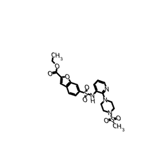 CCOC(=O)c1cc2ccc(S(=O)(=O)Nc3cccnc3N3CCN(S(C)(=O)=O)CC3)cc2o1